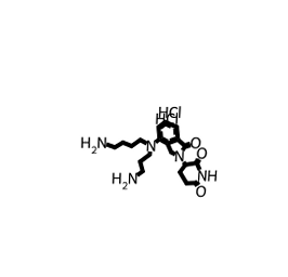 Cl.Cl.NCCCCN(CCCN)c1cccc2c1CN(C1CCC(=O)NC1=O)C2=O